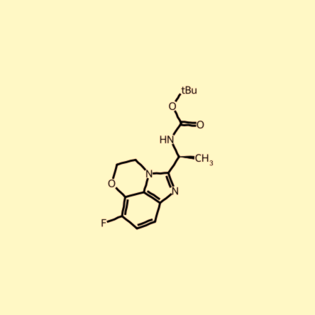 C[C@H](NC(=O)OC(C)(C)C)c1nc2ccc(F)c3c2n1CCO3